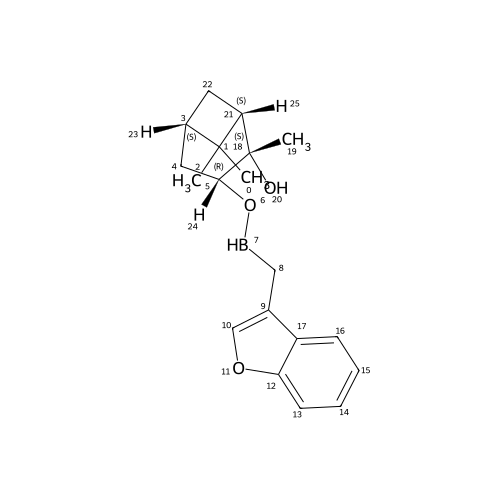 CC1(C)[C@@H]2C[C@@H](OBCc3coc4ccccc34)[C@@](C)(O)[C@H]1C2